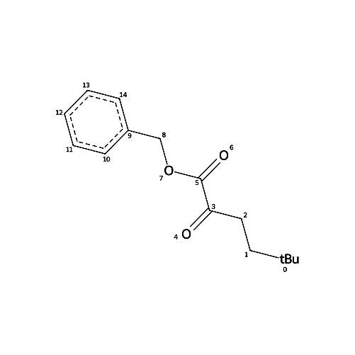 CC(C)(C)CCC(=O)C(=O)OCc1ccccc1